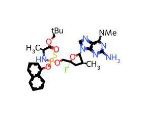 CNc1nc(N)nc2c1ncn2[C@@H]1O[C@](F)(COP(=S)(N[C@@H](C)C(=O)OCC(C)(C)C)Oc2cccc3ccccc23)C[C@@H]1C